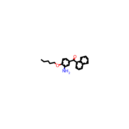 CCCCCOc1ccc(C(=O)c2cccc3ccccc23)cc1N